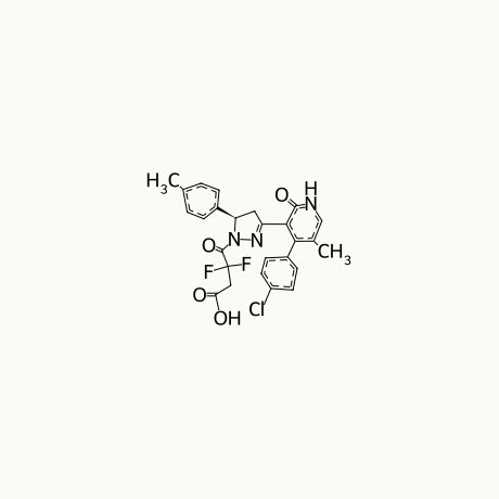 Cc1ccc([C@H]2CC(c3c(-c4ccc(Cl)cc4)c(C)c[nH]c3=O)=NN2C(=O)C(F)(F)CC(=O)O)cc1